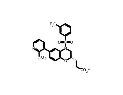 COc1ncccc1-c1ccc2c(c1)N(S(=O)(=O)c1cccc(C(F)(F)F)c1)C[C@H](CCC(=O)O)O2